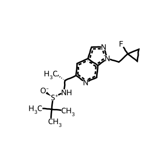 C[C@@H](N[S@+]([O-])C(C)(C)C)c1cc2cnn(CC3(F)CC3)c2cn1